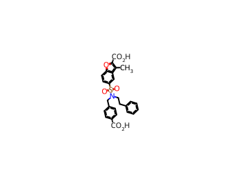 Cc1c(C(=O)O)oc2ccc(S(=O)(=O)N(CCc3ccccc3)Cc3ccc(C(=O)O)cc3)cc12